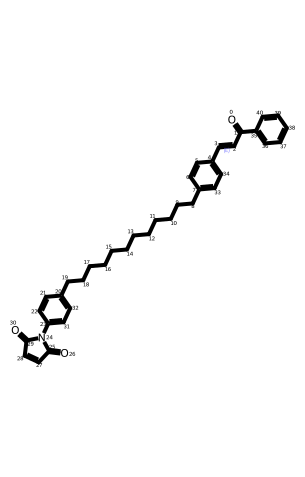 O=C(/C=C/c1ccc(CCCCCCCCCCCCc2ccc(N3C(=O)C=CC3=O)cc2)cc1)c1ccccc1